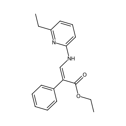 CCOC(=O)C(=CNc1cccc(CC)n1)c1ccccc1